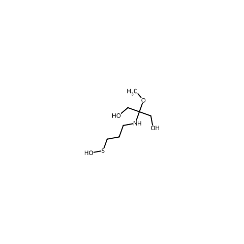 COC(CO)(CO)NCCCSO